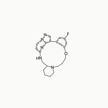 Fc1cc2cc(c1)-c1cnn3ccc(nc13)NCC1CCCCN1CCCO2